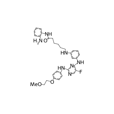 COCCOc1ccc(Nc2ncc(F)c(Nc3cccc(NCCCCCC(=O)Nc4ccccc4N)c3)n2)cc1